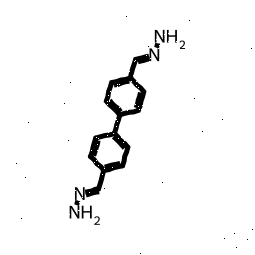 N/N=C/c1ccc(-c2ccc(/C=N/N)cc2)cc1